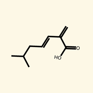 C=C(C=CCC(C)C)C(=O)O